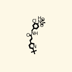 CC(C)(C)c1ccc(C=CC(=O)NCc2ccc(NS(C)(=O)=O)c(Cl)c2)cn1